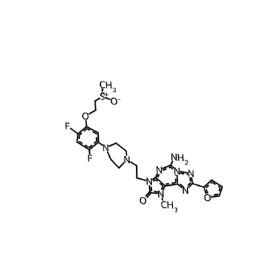 Cn1c(=O)n(CCN2CCN(c3cc(OCC[S@@+](C)[O-])c(F)cc3F)CC2)c2nc(N)n3nc(-c4ccco4)nc3c21